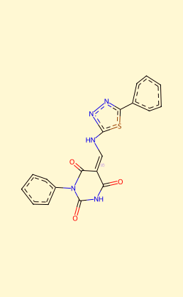 O=C1NC(=O)N(c2ccccc2)C(=O)/C1=C\Nc1nnc(-c2ccccc2)s1